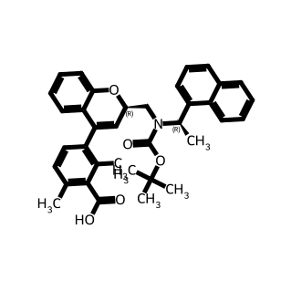 Cc1ccc(C2=C[C@H](CN(C(=O)OC(C)(C)C)[C@H](C)c3cccc4ccccc34)Oc3ccccc32)c(C)c1C(=O)O